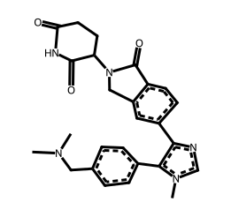 CN(C)Cc1ccc(-c2c(-c3ccc4c(c3)CN(C3CCC(=O)NC3=O)C4=O)ncn2C)cc1